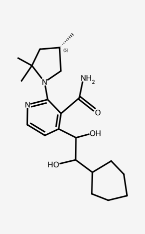 C[C@@H]1CN(c2nccc(C(O)C(O)C3CCCCC3)c2C(N)=O)C(C)(C)C1